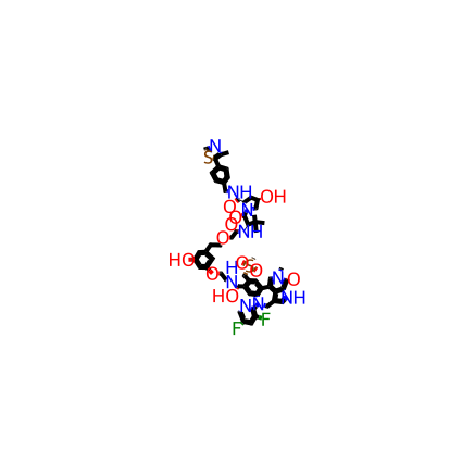 Cc1ncsc1-c1ccc(CNC(=O)[C@@H]2C[C@@H](O)CN2C(=O)[C@@H](NC(=O)COCCc2cc(O)cc(OCCNC(O)c3cc4c(cc3CS(C)(=O)=O)-c3cn(C)c(=O)c5[nH]cc(c35)CN4c3ncc(F)cc3F)c2)C(C)(C)C)cc1